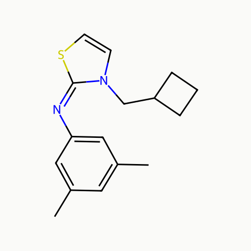 Cc1cc(C)cc(N=c2sccn2CC2CCC2)c1